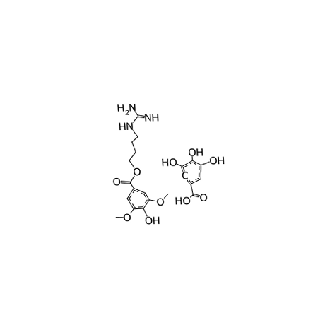 COc1cc(C(=O)OCCCCNC(=N)N)cc(OC)c1O.O=C(O)c1cc(O)c(O)c(O)c1